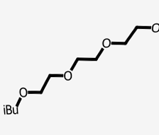 CCC(C)OCCOCCOCC[O]